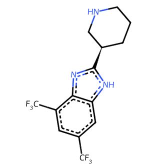 FC(F)(F)c1cc(C(F)(F)F)c2nc([C@@H]3CCCNC3)[nH]c2c1